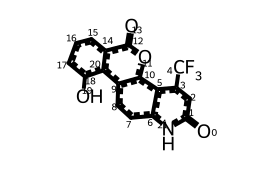 O=c1cc(C(F)(F)F)c2c(ccc3c2oc(=O)c2cccc(O)c23)[nH]1